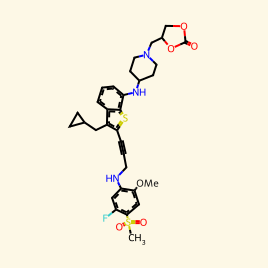 COc1cc(S(C)(=O)=O)c(F)cc1NCC#Cc1sc2c(NC3CCN(CC4COC(=O)O4)CC3)cccc2c1CC1CC1